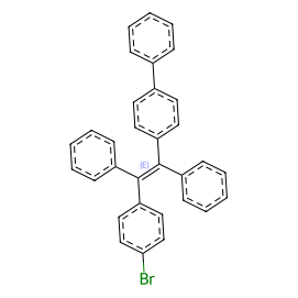 Brc1ccc(/C(=C(\c2ccccc2)c2ccc(-c3ccccc3)cc2)c2ccccc2)cc1